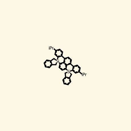 CC(C)c1ccc2c(c1)[Si]1(Cc3ccccc3C1)c1ccc3c4c(ccc-2c14)-c1ccc(C(C)C)cc1[Si]31Cc2ccccc2C1